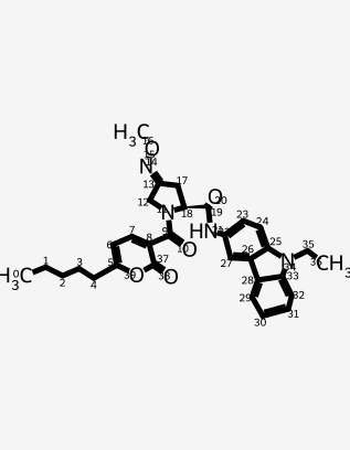 CCCCCc1ccc(C(=O)N2C/C(=N/OC)C[C@H]2C(=O)Nc2ccc3c(c2)c2ccccc2n3CC)c(=O)o1